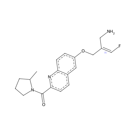 CC1CCCN1C(=O)c1ccc2cc(OC/C(=C/F)CN)ccc2n1